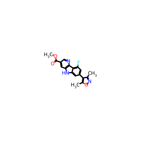 COC(=O)c1cnc2c(c1)[nH]c1cc(-c3c(C)noc3C)cc(F)c12